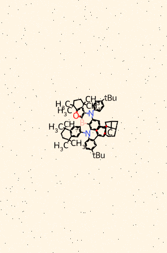 CC(C)(C)c1ccc(N2c3cc(C45CC6CC7CC(C4)C75C6)cc4c3B(c3cc5c(cc3N4c3ccc(C(C)(C)C)cc3-c3ccccc3)C(C)(C)CCC5(C)C)c3oc4c(c32)C(C)(C)CCC4(C)C)cc1